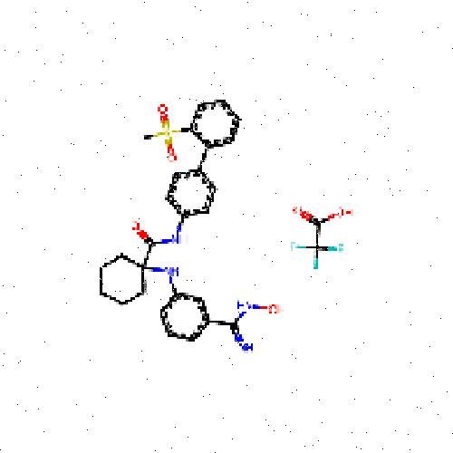 CS(=O)(=O)c1ccccc1-c1ccc(NC(=O)C2(Nc3cccc(C(=N)NO)c3)CCCCC2)cc1.O=C(O)C(F)(F)F